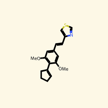 COc1cc(/C=C/c2cscn2)cc(OC)c1C1=CCCC1